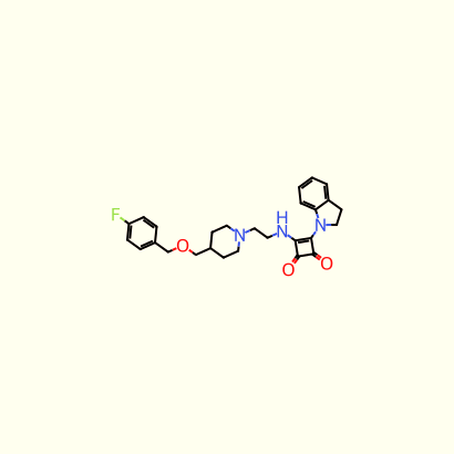 O=c1c(NCCN2CCC(COCc3ccc(F)cc3)CC2)c(N2CCc3ccccc32)c1=O